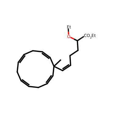 CCOC(=O)C(CC/C=C\C1(C)/C=C\C/C=C\C/C=C\C/C=C\1)OCC